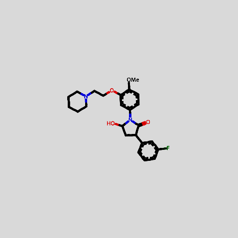 COc1ccc(N2C(=O)C(c3cccc(F)c3)CC2O)cc1OCCN1CCCCC1